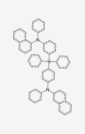 c1ccc(N(c2ccc([Si](c3ccccc3)(c3ccccc3)c3cccc(N(c4ccccc4)c4cccc5ccccc45)c3)cc2)c2ccc3ccccc3c2)cc1